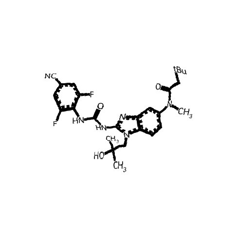 CN(C(=O)CC(C)(C)C)c1ccc2c(c1)nc(NC(=O)Nc1c(F)cc(C#N)cc1F)n2CC(C)(C)O